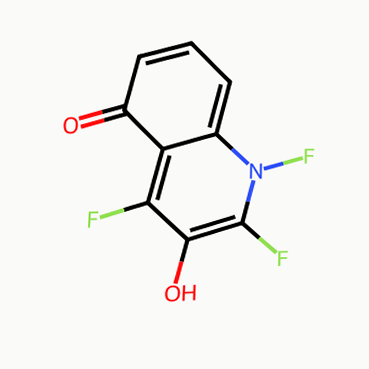 O=c1cccc2n(F)c(F)c(O)c(F)c1-2